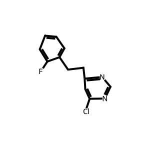 Fc1ccccc1CCc1cc(Cl)ncn1